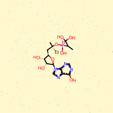 CC[C@@](C)(C[C@H]1OC(n2cnc3c(O)ncnc32)[C@H](O)[C@@H]1O)O[PH]1(O)C(C)C1(O)O